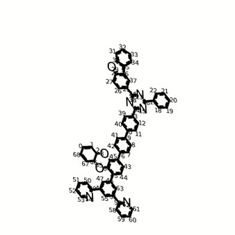 C1=CC2Oc3c(-c4ccc(-c5ccc(-c6nc(-c7ccccc7)nc(-c7ccc8oc9ccccc9c8c7)n6)cc5)cc4)ccc(-c4cc(-c5ccccn5)cc(-c5ccccn5)c4)c3OC2C=C1